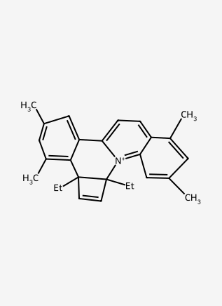 CCC12C=CC1(CC)[n+]1c(ccc3c(C)cc(C)cc31)-c1cc(C)cc(C)c12